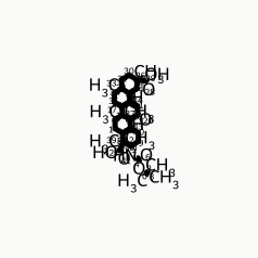 CC(C)(C)OC(=O)N[C@H]1CC[C@@]2(C)C(CCC3(C)[C@@H]2C(=O)C=C2[C@@H]4CC(C)(C(=O)O)CCC4(C)CCC23C)[C@]1(C)C(=O)O